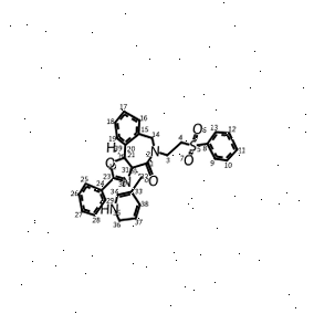 O=C1N(CCS(=O)(=O)c2ccccc2)Cc2ccccc2[C@@H]2OC(c3ccccc3)=N[C@]12CC1=CNCC=C1